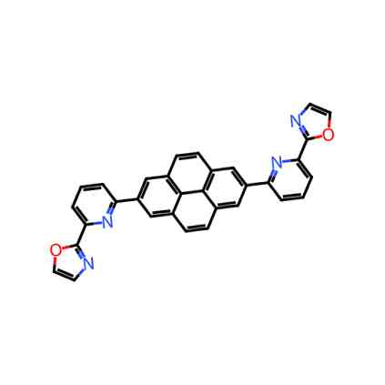 c1cc(-c2cc3ccc4cc(-c5cccc(-c6ncco6)n5)cc5ccc(c2)c3c45)nc(-c2ncco2)c1